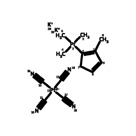 CC1=[C]([Pt]([CH3])([CH3])[CH3])CC=C1.N#[C][Pt-2]([C]#N)([C]#N)[C]#N.[K+].[K+]